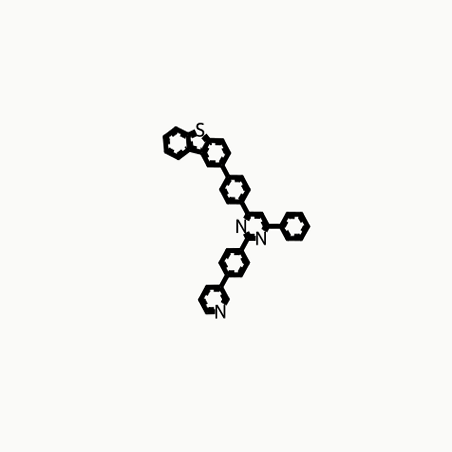 c1ccc(-c2cc(-c3ccc(-c4ccc5sc6ccccc6c5c4)cc3)nc(-c3ccc(-c4cccnc4)cc3)n2)cc1